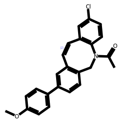 COc1ccc(-c2ccc3c(c2)/C=C\c2cc(Cl)ccc2N(C(C)=O)C3)cc1